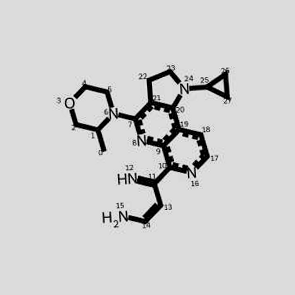 CC1COCCN1c1nc2c(C(=N)/C=C\N)nccc2c2c1CCN2C1CC1